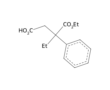 CCOC(=O)C(CC)(CC(=O)O)c1ccccc1